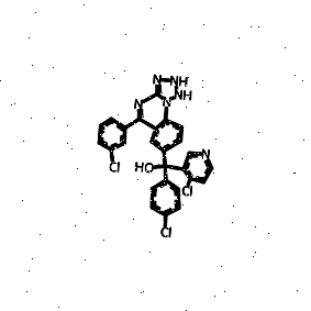 OC(c1ccc(Cl)cc1)(c1ccc2c(c1)C(c1cccc(Cl)c1)=NC1=NNNN12)c1cnccc1Cl